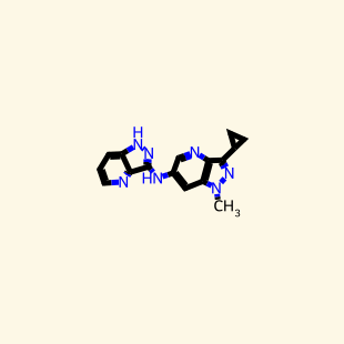 Cn1nc(C2CC2)c2ncc(Nc3n[nH]c4cccnc34)cc21